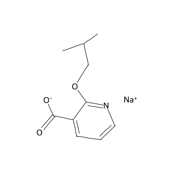 CC(C)COc1ncccc1C(=O)[O-].[Na+]